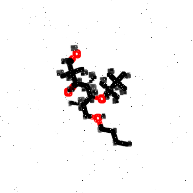 CCCCOC[C@H](C)[C@H](O[Si](C)(C)C(C)(C)C)[C@@H](C)C(=O)C(C)(C)C=O